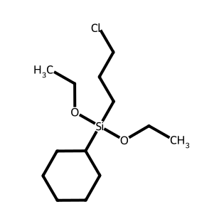 CCO[Si](CCCCl)(OCC)C1CCCCC1